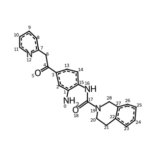 Nc1cc(C(=O)Cc2ccccn2)ccc1NC(=O)N1CCc2ccccc2C1